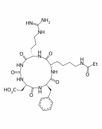 CCC(=O)NCCCCC1NC(=O)[C@@H](Cc2ccccc2)NC(=O)[C@@H](CC(=O)O)NC(=O)NC(=O)[C@H](CCCNC(=N)N)NC1=O